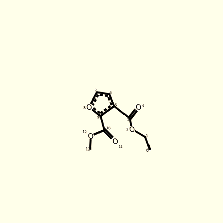 CCOC(=O)c1ccoc1C(=O)OC